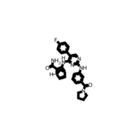 NC(=O)C1C(Nc2nc(Nc3cccc(C(=O)N4CCCC4)c3)ncc2-c2ccc(F)cc2)C2C=C[C@@H]1C2